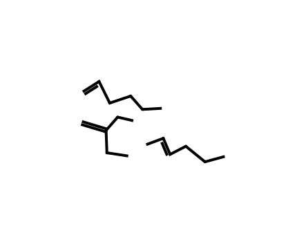 C=C(CC)CC.C=CCCCC.CC=CCCC